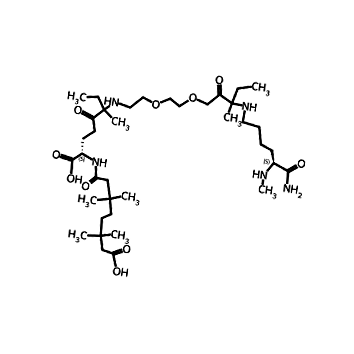 CCC(C)(NCCOCCOCC(=O)C(C)(CC)NCCCC[C@H](NC)C(N)=O)C(=O)CC[C@H](NC(=O)CC(C)(C)CCC(C)(C)CC(=O)O)C(=O)O